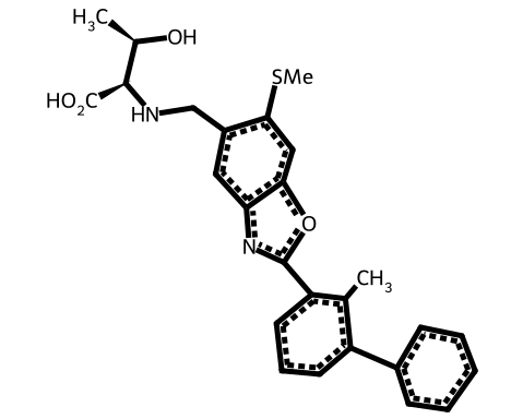 CSc1cc2oc(-c3cccc(-c4ccccc4)c3C)nc2cc1CN[C@@H](C(=O)O)[C@@H](C)O